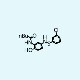 CCCCC(=O)Nc1cc(NSc2cccc(Cl)c2)ccc1O